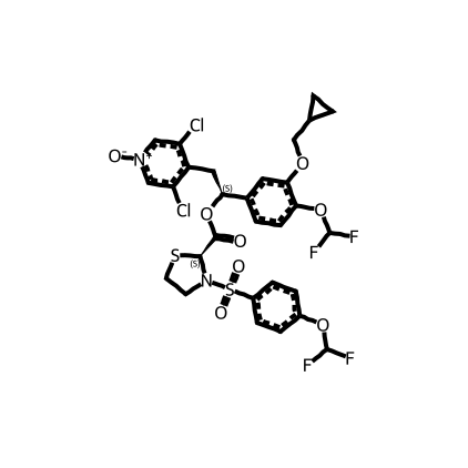 O=C(O[C@@H](Cc1c(Cl)c[n+]([O-])cc1Cl)c1ccc(OC(F)F)c(OCC2CC2)c1)[C@@H]1SCCN1S(=O)(=O)c1ccc(OC(F)F)cc1